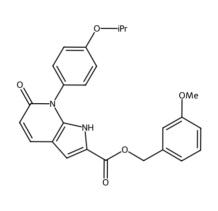 COc1cccc(COC(=O)c2cc3ccc(=O)n(-c4ccc(OC(C)C)cc4)c3[nH]2)c1